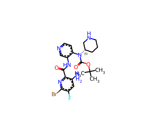 CC(C)(C)OC(=O)N(c1ccncc1NC(=O)c1nc(Br)c(F)cc1N)[C@H]1CCCNC1